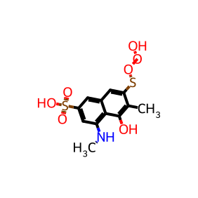 CNc1cc(S(=O)(=O)O)cc2cc(SOOO)c(C)c(O)c12